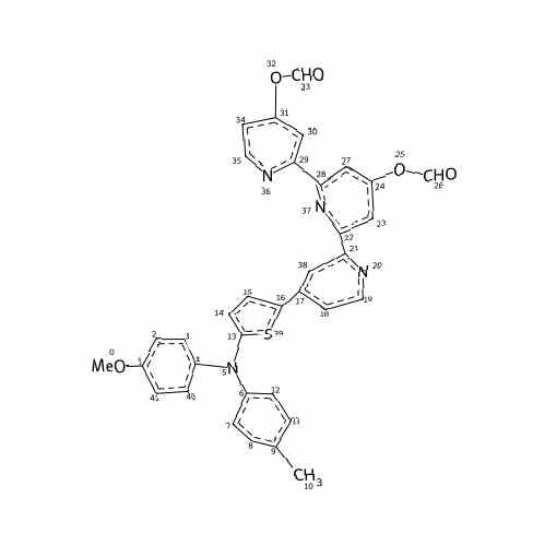 COc1ccc(N(c2ccc(C)cc2)c2ccc(-c3ccnc(-c4cc(OC=O)cc(-c5cc(OC=O)ccn5)n4)c3)s2)cc1